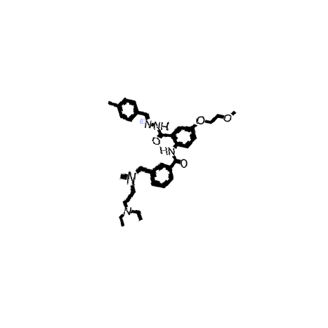 CCN(CC)CCN(C)Cc1cccc(C(=O)Nc2ccc(OCCOC)cc2C(=O)N/N=C/c2ccc(C)cc2)c1